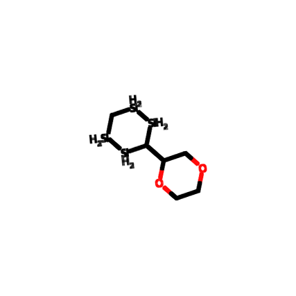 C1COC(C2[SiH2][SiH2]C[SiH2][SiH2]2)CO1